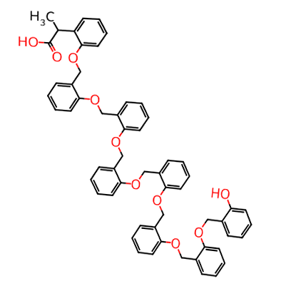 CC(C(=O)O)c1ccccc1OCc1ccccc1OCc1ccccc1OCc1ccccc1OCc1ccccc1OCc1ccccc1OCc1ccccc1OCc1ccccc1O